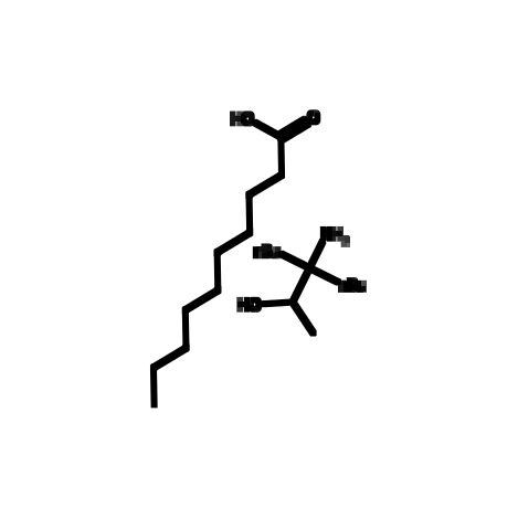 CCCCC(N)(CCCC)C(C)O.CCCCCCCCCC(=O)O